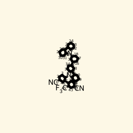 N#Cc1ccc(-n2c3ccccc3c3cc(-c4cccc(-n5c6ccccc6c6ccccc65)c4)ccc32)c(-c2ccc(C#N)cc2C(F)(F)F)c1